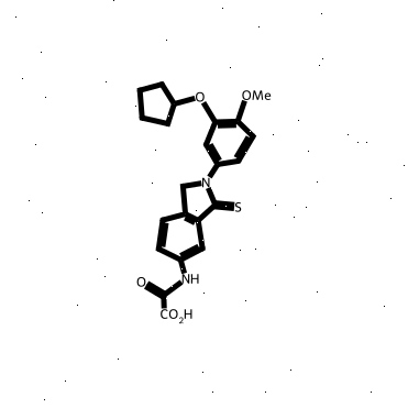 COc1ccc(N2Cc3ccc(NC(=O)C(=O)O)cc3C2=S)cc1OC1CCCC1